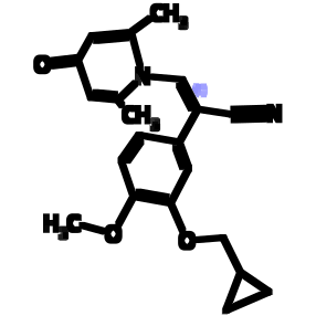 COc1ccc(/C(C#N)=C\n2c(C)cc(=O)cc2C)cc1OCC1CC1